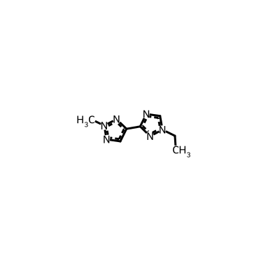 CCn1cnc(-c2cnn(C)n2)n1